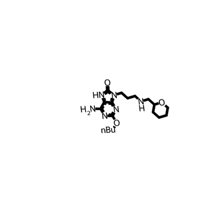 CCCCOc1nc(N)c2[nH]c(=O)n(CCCNCC3CCCCO3)c2n1